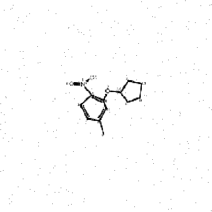 Cc1ccc([N+](=O)[O-])c(OC2CCCC2)c1